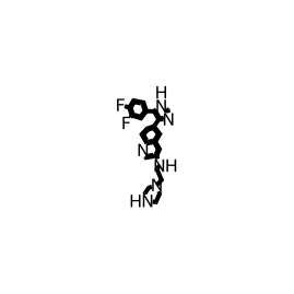 Fc1ccc(-c2[nH]cnc2-c2ccc3ncc(NCCN4CCNCC4)cc3c2)cc1F